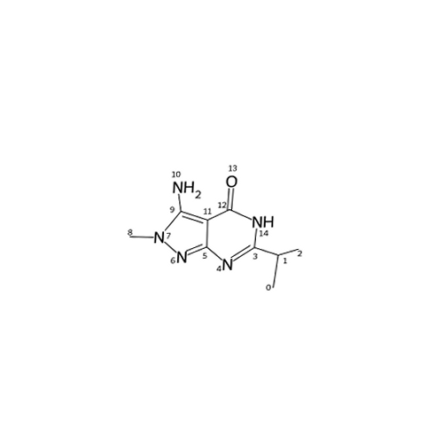 CC(C)c1nc2nn(C)c(N)c2c(=O)[nH]1